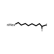 CCCCCCCCCCCCCC(I)I